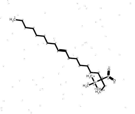 CCCCCCCCC=CCCCCCCC(CC)(P(=O)=O)[N+](C)(C)C